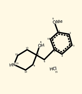 COc1cccc(CC2(O)CCNCC2)c1.Cl